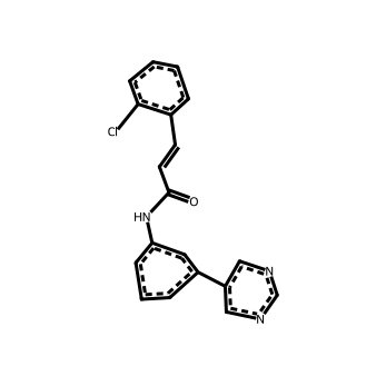 O=C(C=Cc1ccccc1Cl)Nc1cccc(-c2cncnc2)c1